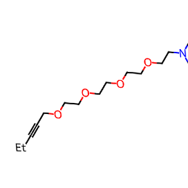 CCC#CCOCCOCCOCCOCCN(C)C